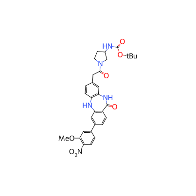 COc1cc(-c2ccc3c(c2)Nc2ccc(CC(=O)N4CCC(NC(=O)OC(C)(C)C)C4)cc2NC3=O)ccc1[N+](=O)[O-]